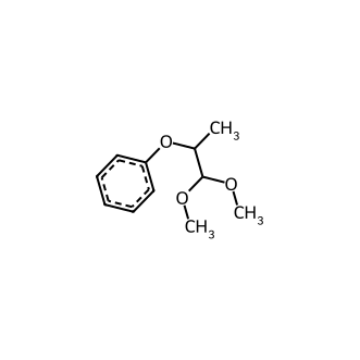 COC(OC)C(C)Oc1ccccc1